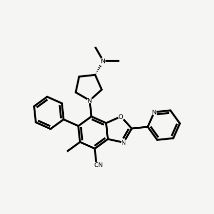 Cc1c(-c2ccccc2)c(N2CC[C@H](N(C)C)C2)c2oc(-c3ccccn3)nc2c1C#N